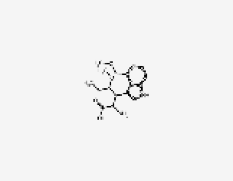 CCC(OC)C(c1c[nH]c2cccc(COC)c12)C(N)C(=O)O